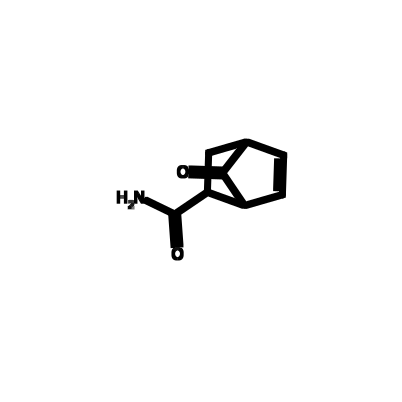 NC(=O)C1CC2C=CC1C2=O